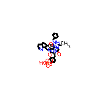 C=CCN1CC(=O)N2[C@@H](Cc3ccc(OP(=O)(O)O)cc3)C(=O)N(Cc3cccc4cccnc34)[C@@H](C)[C@@H]2N1C(=O)NCc1ccccc1